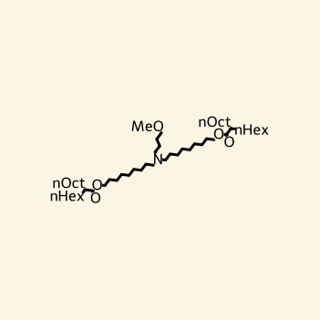 CCCCCCCCC(CCCCCC)C(=O)OCCCCCCCCCN(CCCCCCCCCOC(=O)C(CCCCCC)CCCCCCCC)CCCCOC